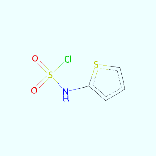 O=S(=O)(Cl)Nc1cccs1